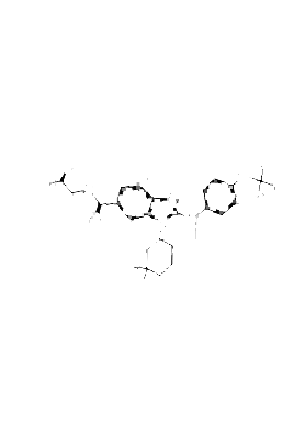 C[C@H]1CC(n2c(Nc3ccc(OC(F)(F)F)cc3)nc3ccc(C(=O)NCC(=O)O)cc32)CC(C)(C)C1